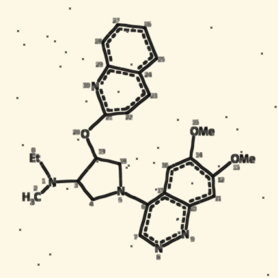 CCN(C)C1CN(c2cnnc3cc(OC)c(OC)cc23)CC1Oc1ccc2ccccc2n1